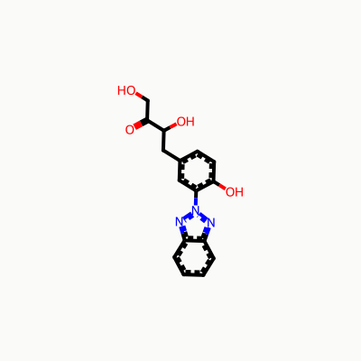 O=C(CO)C(O)Cc1ccc(O)c(-n2nc3ccccc3n2)c1